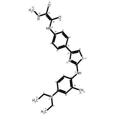 CCN(CC)c1ccc(Nc2nc(-c3ccc(N/C(Cl)=C(/Cl)NC)cc3)cs2)c(C)c1